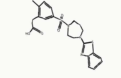 Cc1ccc(S(=O)(=O)N2CCCN(c3nc4ccccc4s3)CC2)cc1CC(=O)O